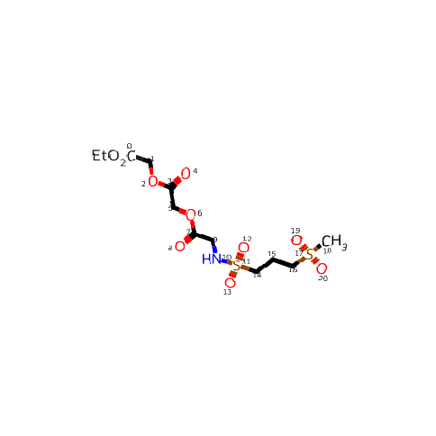 CCOC(=O)COC(=O)COC(=O)CNS(=O)(=O)CCCS(C)(=O)=O